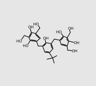 CC(C)(C)c1cc(Cc2cc(CO)c(O)c(CO)c2O)c(O)c(Cc2cc(CO)c(O)c(CO)c2O)c1